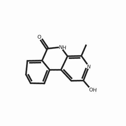 Cc1nc(O)cc2c1[nH]c(=O)c1ccccc12